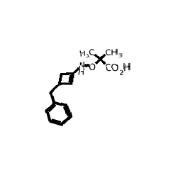 CC(C)(ONC1=CC(Cc2ccccc2)C1)C(=O)O